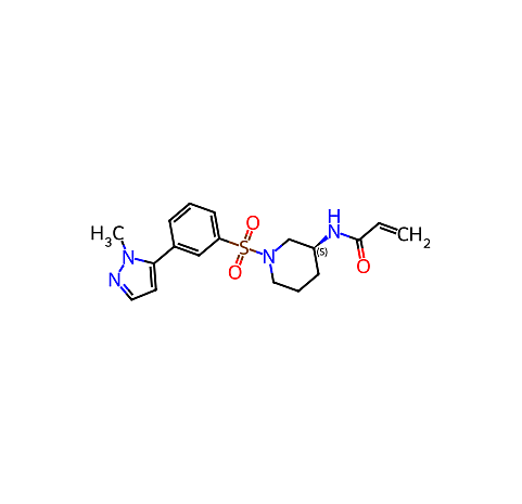 C=CC(=O)N[C@H]1CCCN(S(=O)(=O)c2cccc(-c3ccnn3C)c2)C1